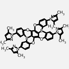 Cc1cc(C)n(-c2ccc3c(c2)B2c4cc(-n5nc(C)cc5C)ccc4Oc4c5c6c(c(c42)O3)Oc2ccc(-n3nc(C)cc3C)cc2B6c2cc(-n3nc(C)cc3C)ccc2O5)n1